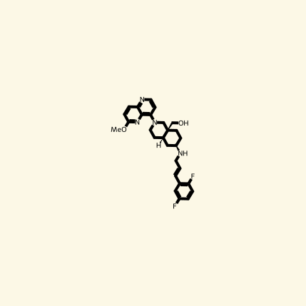 COc1ccc2nccc(N3CC[C@@H]4C[C@H](NC/C=C/c5cc(F)ccc5F)CC[C@@]4(CO)C3)c2n1